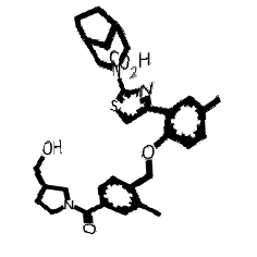 Cc1ccc(OCc2ccc(C(=O)N3CCC(CO)C3)cc2C)c(-c2csc(N3CC4CCC(C3)C4C(=O)O)n2)c1